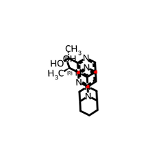 C[C@@H](O)c1nccc(N2CC3CCCC(C2)N3c2ccnc([C@@H](C)O)n2)n1